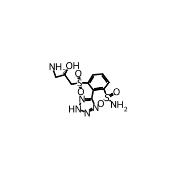 NCC(O)CS(=O)(=O)c1cccc(S(N)(=O)=O)c1-c1nn[nH]n1